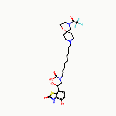 O=C(O)N(CCCCCCCCCN1CCC2(CC1)CN(C(=O)C(F)(F)F)CCO2)CC(O)c1ccc(O)c2[nH]c(=O)sc12